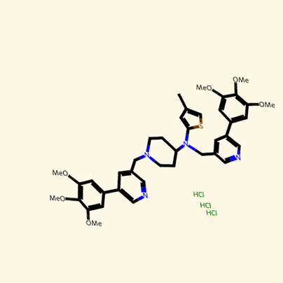 COc1cc(-c2cncc(CN3CCC(N(Cc4cncc(-c5cc(OC)c(OC)c(OC)c5)c4)c4cc(C)cs4)CC3)c2)cc(OC)c1OC.Cl.Cl.Cl